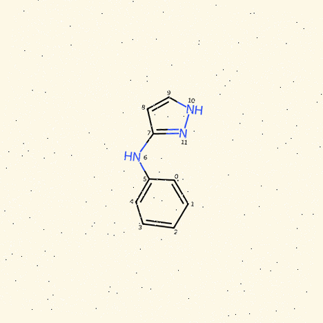 [c]1ccccc1Nc1cc[nH]n1